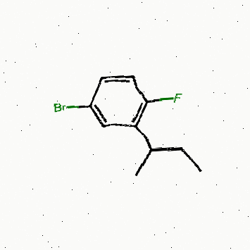 CCC(C)c1cc(Br)ccc1F